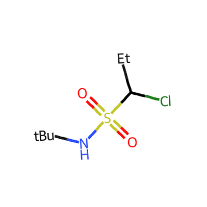 CCC(Cl)S(=O)(=O)NC(C)(C)C